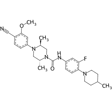 COc1cc(N2C[C@@H](C)N(C(=O)Nc3ccc(N4CCC(C)CC4)c(F)c3)C[C@@H]2C)ccc1C#N